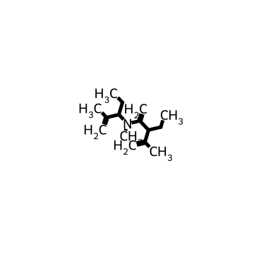 C=C(C)C(CC)C(=C)N(C)C(CC)C(=C)C